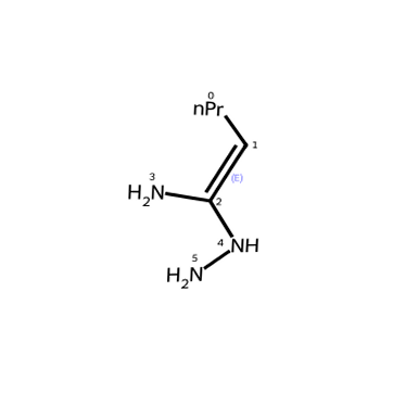 CCC/C=C(\N)NN